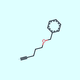 [C]#CCCCOCc1ccccc1